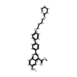 COC(=O)c1cc(-c2ccc(-c3ccc(OCCCCOC4CCCCO4)cc3)cc2)nc2ccc(N)cc12